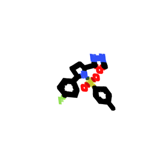 Cc1ccc(S(=O)(=O)N2C(c3ccc(F)cc3)CCC2c2nnco2)cc1